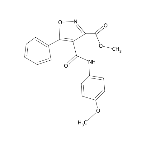 COC(=O)c1noc(-c2ccccc2)c1C(=O)Nc1ccc(OC)cc1